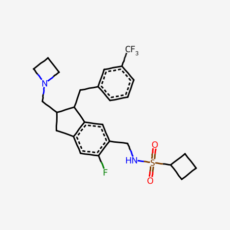 O=S(=O)(NCc1cc2c(cc1F)CC(CN1CCC1)C2Cc1cccc(C(F)(F)F)c1)C1CCC1